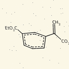 C=C(C(=O)O)c1cccc(C(=O)OCC)c1